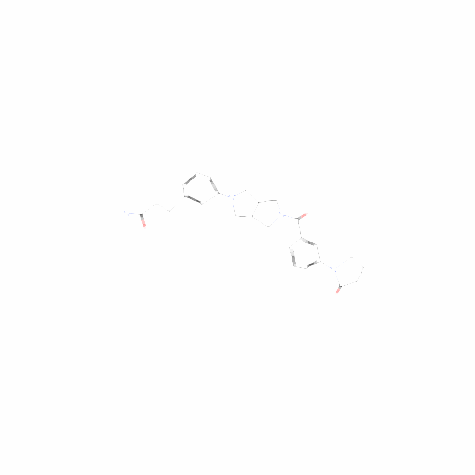 NC(=O)CCc1cccc(N2CC3CN(C(=O)c4cccc(N5CCCC5=O)c4)CC3C2)c1